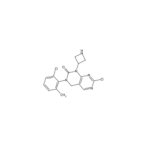 Cc1cccc(Cl)c1N1Cc2cnc(Cl)nc2N(C2CNC2)C1=O